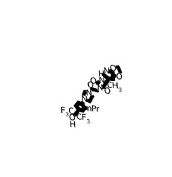 CCCc1cc(C(O)(C(F)(F)F)C(F)(F)F)ccc1N1CCN(C(=O)CN2C(=O)NC(C)(c3cnc4c(c3)OCCO4)C2=O)CC1